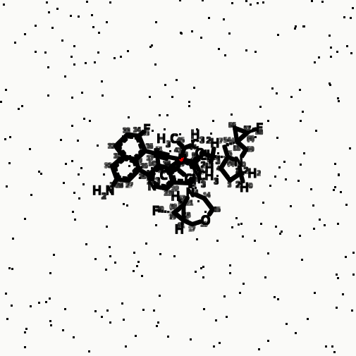 [2H]C1([2H])CC[C@@]2(C([2H])([2H])Oc3nc(N4CCOC[C@H]5[C@H](F)[C@H]54)c4cnc(-c5cc(N)cc6ccc(F)c(C#C[Si](C(C)C)(C(C)C)C(C)C)c56)c(F)c4n3)C[C@@]3(C[C@H]3F)CN12